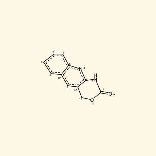 O=C1Nc2nc3c[c]ccc3cc2CO1